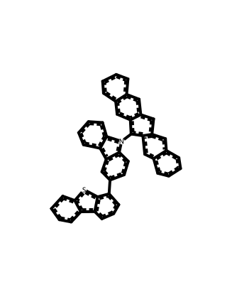 c1ccc2cc3c(-n4c5ccccc5c5cc(-c6cccc7c6sc6ccccc67)ccc54)c4cc5ccccc5cc4cc3cc2c1